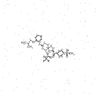 CC(C)COc1ccccc1CN1CCC2(CC1)CCN(C(=O)c1ccc(S(C)(=O)=O)cc1)C2OC(=O)C(F)(F)F